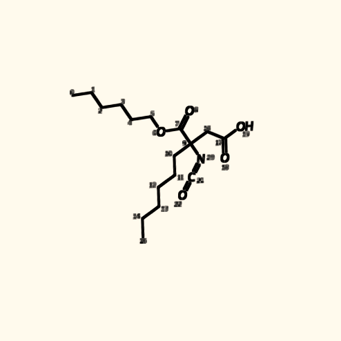 CCCCCCOC(=O)C(CCCCCC)(CC(=O)O)N=C=O